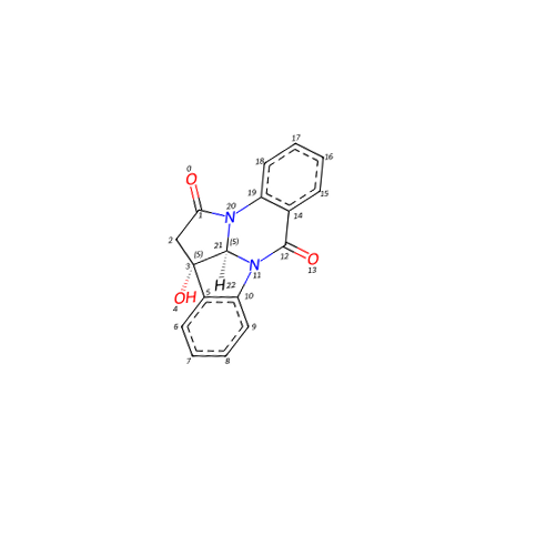 O=C1C[C@]2(O)c3ccccc3N3C(=O)c4ccccc4N1[C@@H]32